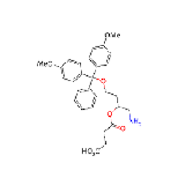 COc1ccc(C(OCCC(CN)OC(=O)CCC(=O)O)(c2ccccc2)c2ccc(OC)cc2)cc1